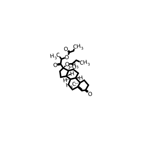 CCC(=O)OC(C)C(=O)[C@@]1(OC(=O)CC)CC[C@H]2[C@@H]3CCC4=CC(=O)CC[C@]4(C)[C@H]3CC[C@@]21C